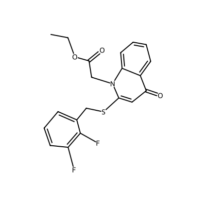 CCOC(=O)Cn1c(SCc2cccc(F)c2F)cc(=O)c2ccccc21